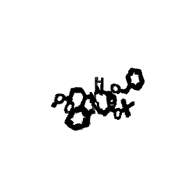 COC(=O)/C=C\C1c2ccccc2N(CC(=O)OC(C)(C)C)N1NC(=O)OCc1ccccc1